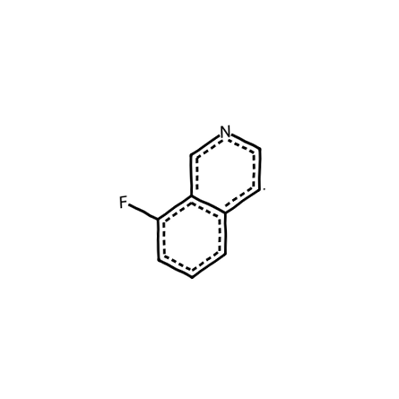 Fc1cccc2[c]cncc12